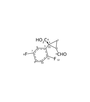 O=CC1C[C@@]1(C(=O)O)c1cc(F)ccc1F